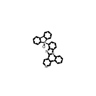 O=P1(c2cccc3c2nc2c4ccncc4c4ccccc4n32)c2ccccc2-c2ccccc21